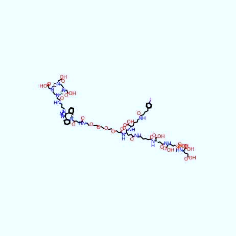 O=C(O)CCC(NP(=O)(O)OCCC[C@H](NC(=O)CC[C@H](NC(=O)CCCCCNC(=O)CCC(NC(=O)CCOCCOCCOCCOCCNC(=O)CCC(=O)N1Cc2ccccc2-c2c(nnn2CCCNC(=O)CN2CCN(CC(=O)O)CCN(CC(=O)O)CCN(CC(=O)O)CC2)-c2ccccc21)C(=O)NC(CCCCNC(=O)CCCc1ccc(I)cc1)C(=O)O)C(=O)O)C(=O)O)C(=O)O